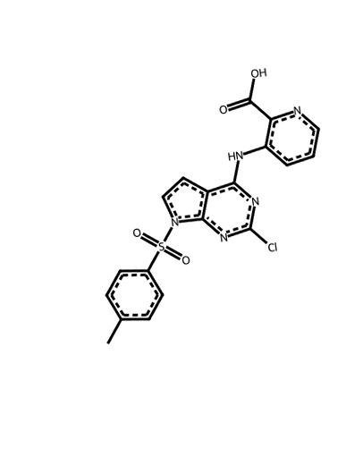 Cc1ccc(S(=O)(=O)n2ccc3c(Nc4cccnc4C(=O)O)nc(Cl)nc32)cc1